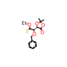 CCOC(=S)C(OCc1ccccc1)[C@H]1OC(C)(C)OC1=O